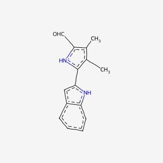 Cc1c(C=O)[nH]c(-c2cc3ccccc3[nH]2)c1C